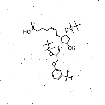 CC(C)(C)[Si](C)(C)O[C@H](/C=C/[C@@H]1[C@@H](C/C=C\CCCC(=O)O)[C@@H](O[Si](C)(C)C(C)(C)C)C[C@H]1O)COc1cccc(C(F)(F)F)c1